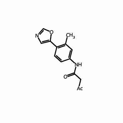 CC(=O)CC(=O)Nc1ccc(-c2cnco2)c(C)c1